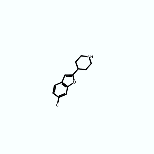 Clc1ccc2cc(C3CCNCC3)oc2c1